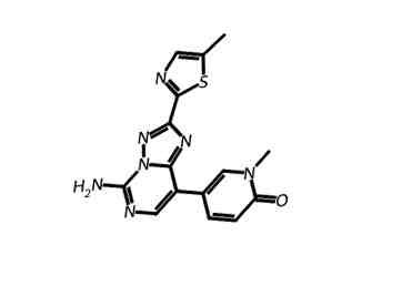 Cc1cnc(-c2nc3c(-c4ccc(=O)n(C)c4)cnc(N)n3n2)s1